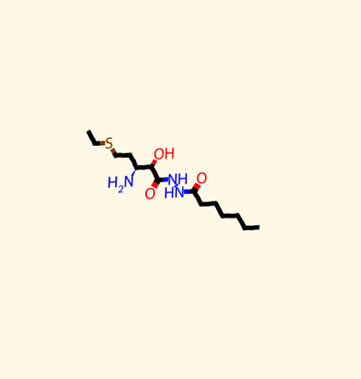 CCCCCCC(=O)NNC(=O)C(O)[C@H](N)CCSCC